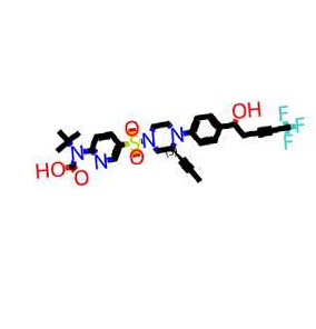 CC#C[C@H]1CN(S(=O)(=O)c2ccc(N(C(=O)O)C(C)(C)C)nc2)CCN1c1ccc(C(O)CC#CC(F)(F)F)cc1